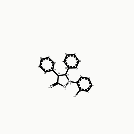 O=C1ON(c2ccccc2I)C(c2ccccc2)C1c1ccccc1